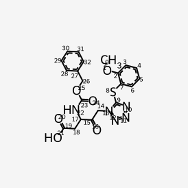 COc1ccccc1Sc1nnnn1CC(=O)C(CC(=O)O)NC(=O)OCc1ccccc1